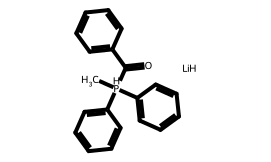 C[PH](C(=O)c1ccccc1)(c1ccccc1)c1ccccc1.[LiH]